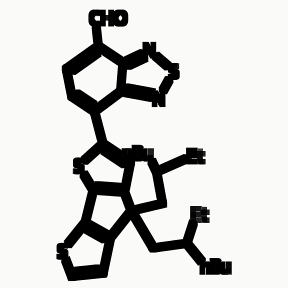 CCCCC(CC)CC1(CC(CC)CCCC)c2ccsc2-c2sc(-c3ccc(C=O)c4nsnc34)cc21